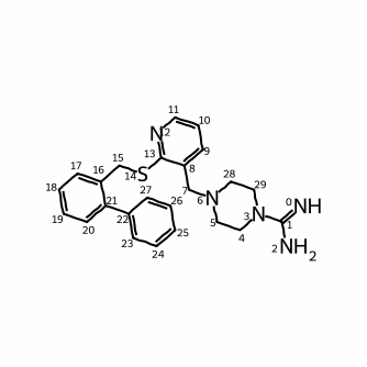 N=C(N)N1CCN(Cc2cccnc2SCc2ccccc2-c2ccccc2)CC1